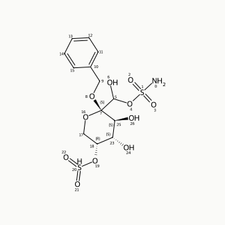 NS(=O)(=O)OC(O)[C@@]1(OCc2ccccc2)OC[C@@H](O[SH](=O)=O)[C@@H](O)[C@@H]1O